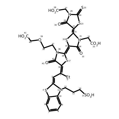 CC/C(C=C1Sc2ccccc2N1CCCS(=O)(=O)O)=c1\s/c(=c2/s/c(=C3/SC(=S)N(CC(=O)O)C3=O)n(CC(=O)O)c2=O)n(CCOCC(=O)O)c1=O